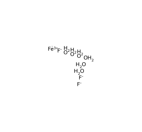 O.O.O.O.O.O.[F-].[F-].[F-].[Fe+3]